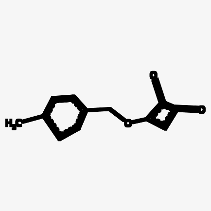 Cc1ccc(COc2cc(=O)c2=O)cc1